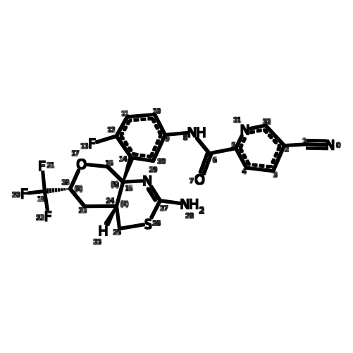 N#Cc1ccc(C(=O)Nc2ccc(F)c([C@]34CO[C@@H](C(F)(F)F)C[C@H]3CSC(N)=N4)c2)nc1